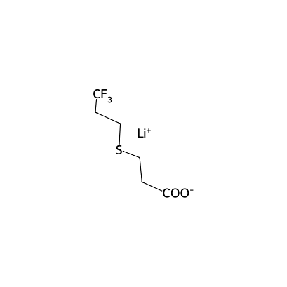 O=C([O-])CCSCCC(F)(F)F.[Li+]